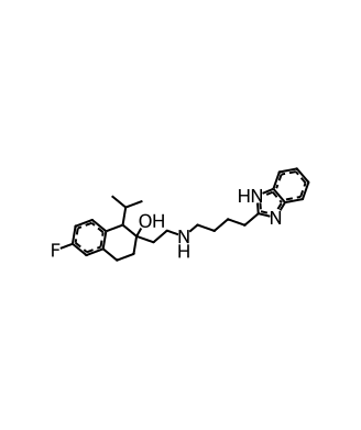 CC(C)C1c2ccc(F)cc2CCC1(O)CCNCCCCc1nc2ccccc2[nH]1